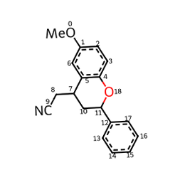 COc1ccc2c(c1)C(CC#N)CC(c1ccccc1)O2